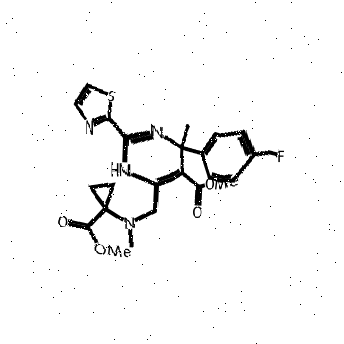 COC(=O)C1=C(CN(C)C2(C(=O)OC)CC2)NC(c2nccs2)=NC1(C)c1ccc(F)cc1